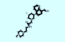 C[C@@H]1C[C@@H](c2ccc(C=N)c3ncccc23)CN(CC(=O)NCCN2CCN(C)CC2)C1